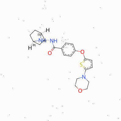 O=C(N[C@@H]1C[C@H]2CC[C@@H]1N2)c1ccc(Oc2ccc(N3CCOCC3)s2)cc1